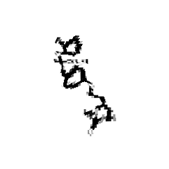 CCOC(=O)C(C)(Cc1ccc(OCCC2CNC(=O)N2C)cc1)Oc1ccccc1F